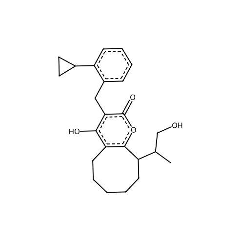 CC(CO)C1CCCCCc2c1oc(=O)c(Cc1ccccc1C1CC1)c2O